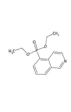 CCOP(=O)(OCC)c1cccc2cnccc12